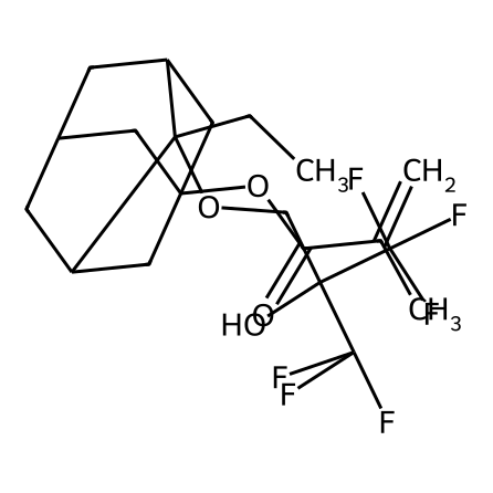 C=C(C)C(=O)OC12CC3CC(C1)C(CC)(OCC(O)(C(F)(F)F)C(F)(F)F)C(C3)C2